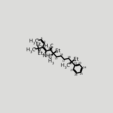 C=C(/C(N)=C(\C=C/C)C(C)(CC)CC)C(C)(CC)CCCCC(C)(CC)c1ccccc1